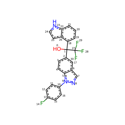 OC(c1ccc2c(cnn2-c2ccc(F)cc2)c1)(c1cccc2[nH]ccc12)C(F)(F)F